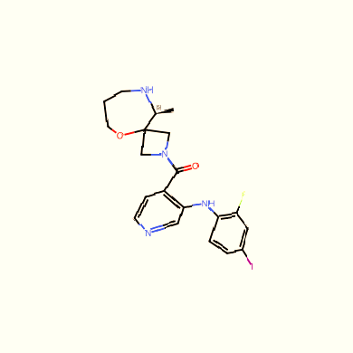 C[C@@H]1NCCCOC12CN(C(=O)c1ccncc1Nc1ccc(I)cc1F)C2